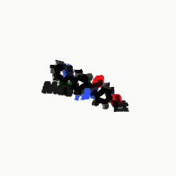 CCOc1ccc(NC(=O)c2ccc(-c3ncccc3Cl)c(OC)c2)cc1